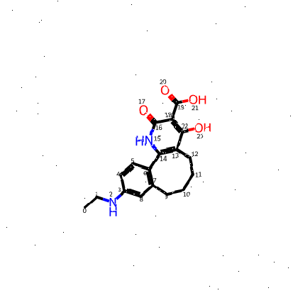 CCNc1ccc2c(c1)CCCCc1c-2[nH]c(=O)c(C(=O)O)c1O